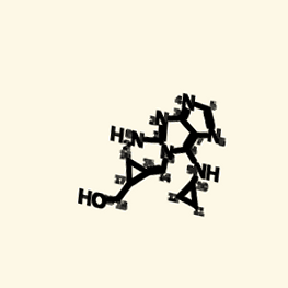 Nc1nc2ncnc-2c(NC2CC2)n1/C=C1\CC1CO